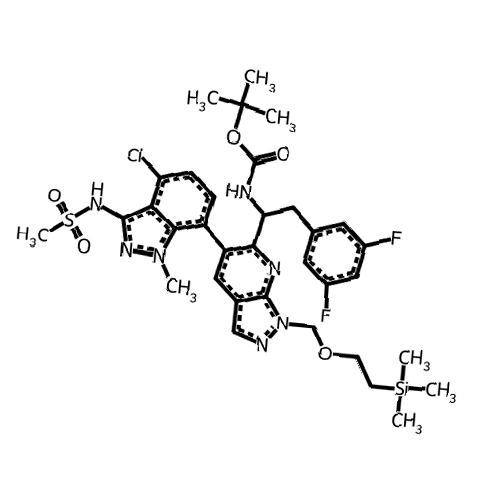 Cn1nc(NS(C)(=O)=O)c2c(Cl)ccc(-c3cc4cnn(COCC[Si](C)(C)C)c4nc3C(Cc3cc(F)cc(F)c3)NC(=O)OC(C)(C)C)c21